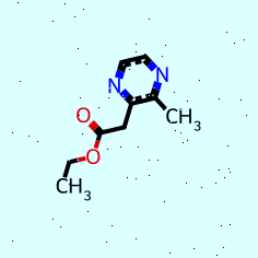 CCOC(=O)Cc1nccnc1C